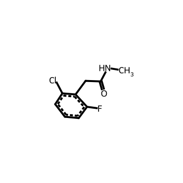 CNC(=O)Cc1c(F)cccc1Cl